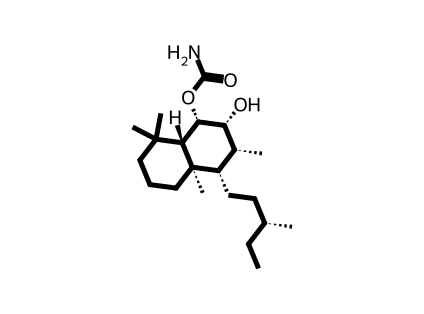 CC[C@@H](C)CC[C@H]1[C@@H](C)[C@@H](O)[C@@H](OC(N)=O)[C@H]2C(C)(C)CCC[C@]12C